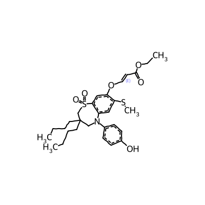 CCCCC1(CCCC)CN(c2ccc(O)cc2)c2cc(SC)c(O/C=C/C(=O)OCC)cc2S(=O)(=O)C1